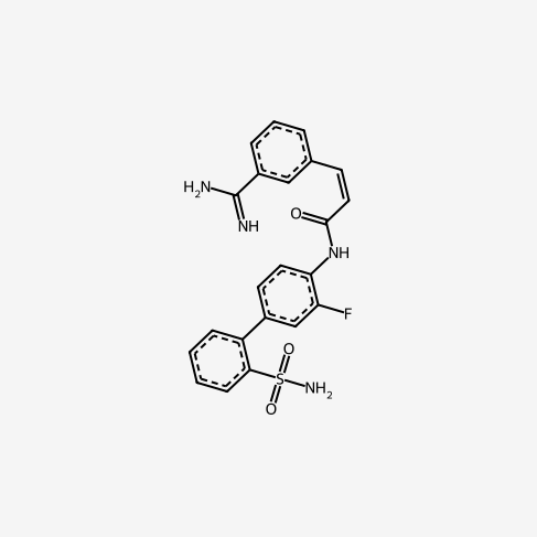 N=C(N)c1cccc(/C=C\C(=O)Nc2ccc(-c3ccccc3S(N)(=O)=O)cc2F)c1